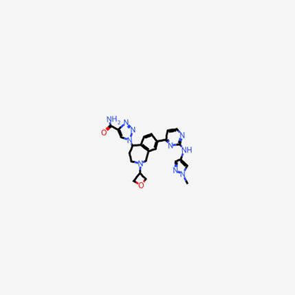 Cn1cc(Nc2nccc(-c3ccc4c(c3)CN(C3COC3)CCC4n3cc(C(N)=O)nn3)n2)cn1